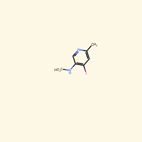 Cc1cc(I)c(NC(=O)O)cn1